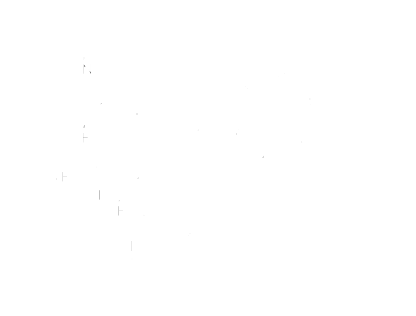 CCc1ccc(-c2cc(C#N)c(C(F)(F)F)c(C(F)(F)F)c2)cc1